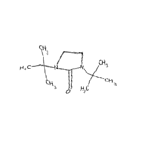 CC(C)(C)N1CCN(C(C)(C)C)C1=O